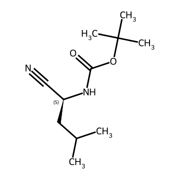 CC(C)C[C@@H](C#N)NC(=O)OC(C)(C)C